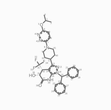 CC(C)Oc1ccc(N2CCC(c3nn(C(c4ccccc4)c4ccccc4)c4c3[C@@H](C(F)(F)F)[C@@H](O)C(=O)N4)CC2)nn1